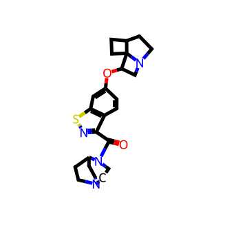 O=C(c1nsc2cc(OC3CN4CCC5CCC534)ccc12)N1CCN2CCC1CC2